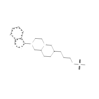 CS(=O)(=O)OCCCC1CCC2CN(c3noc4ccccc34)CCN2C1